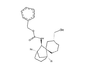 O=C(N[C@@H]1[C@@H]2CC[C@@H](C2)[C@]12CCC[C@@H](CO)C2)OCc1ccccc1